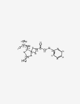 CC(C)(C)[S@@+]([O-])N[C@@H]1C[C@H](O)CC12CN(C(=O)OCc1ccccc1)C2